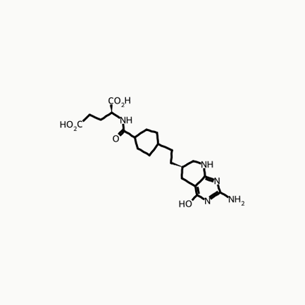 Nc1nc(O)c2c(n1)NC[C@H](CCC1CCC(C(=O)N[C@@H](CCC(=O)O)C(=O)O)CC1)C2